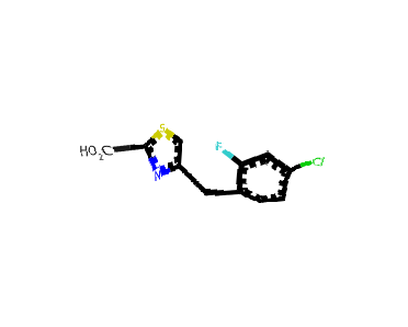 O=C(O)c1nc(Cc2ccc(Cl)cc2F)cs1